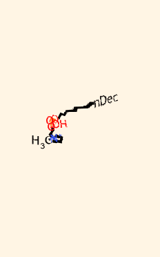 CCCCCCCCCCCCCCCCCCOP(=O)(O)OCC[N+]1(C)C=CC=C1